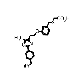 Cc1oc(-c2ccc(CC(C)C)cc2)nc1CCOc1cccc(CSCC(=O)O)c1